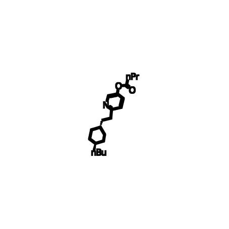 CCCC[C@H]1CC[C@H](CCc2ccc(OC(=O)CCC)cn2)CC1